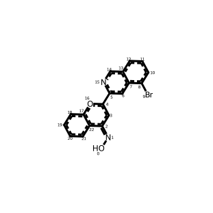 O/N=c1/cc(-c2cc3c(Br)cccc3cn2)oc2ccccc12